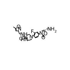 Cc1cc(CNC(=O)N2CCN(c3ccc(N4C[C@H](CN)OC4=O)cc3F)CCN2)no1